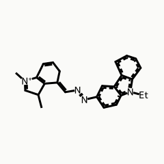 CCn1c2ccccc2c2cc(N=NC=C3CC=CC4=C3C(C)C=[N+]4C)ccc21